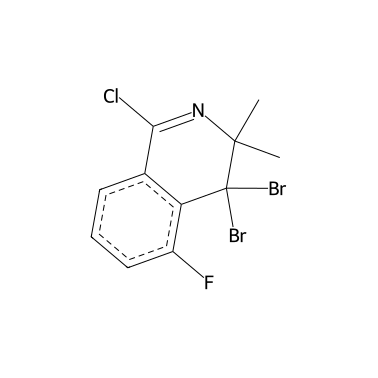 CC1(C)N=C(Cl)c2cccc(F)c2C1(Br)Br